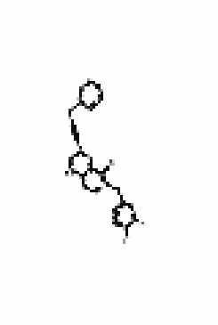 O=c1c2nc(C#CCc3ccccc3)cnc2ccn1Cc1ccc(F)c(F)c1